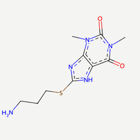 Cn1c(=O)c2[nH]c(SCCCN)nc2n(C)c1=O